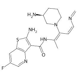 C=N/C=C\C(=C(/C)NC(=O)c1c(N)sc2cc(F)cnc12)N1CCC[C@H](N)C1